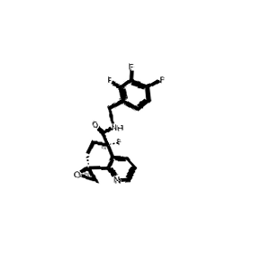 O=C(NCc1ccc(F)c(F)c1F)[C@]1(F)CC[C@@]2(CO2)c2ncccc21